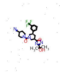 CC(C)(O)c1noc(C2CC(c3cccc(C(F)(F)F)c3)CN(C(=O)N3CCC(C#N)CC3)C2)n1